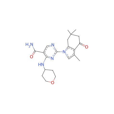 Cc1cn(-c2ncc(C(N)=O)c(NC3CCOCC3)n2)c2c1C(=O)CC(C)(C)C2